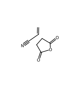 C=CC#N.O=C1CCC(=O)O1